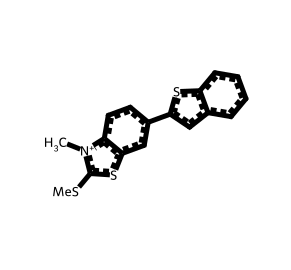 CSc1sc2cc(-c3cc4ccccc4s3)ccc2[n+]1C